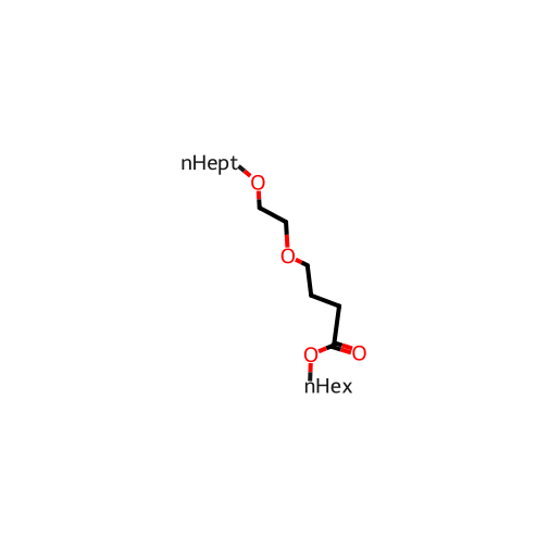 CCCCCCCOCCOCCCC(=O)OCCCCCC